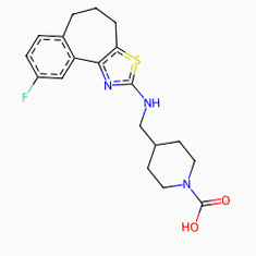 O=C(O)N1CCC(CNc2nc3c(s2)CCCc2ccc(F)cc2-3)CC1